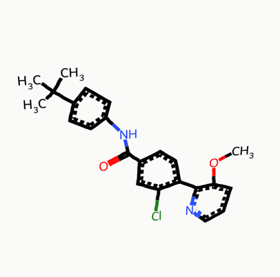 COc1cccnc1-c1ccc(C(=O)Nc2ccc(C(C)(C)C)cc2)cc1Cl